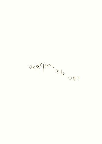 CCCN(CCC)c1ccc(CCCC(=O)NCCNC(=O)CCCCOc2ccc(-c3nc4ccc(-c5nc6cc(N7CCNCC7)ccc6[nH]5)cc4[nH]3)cc2)cc1